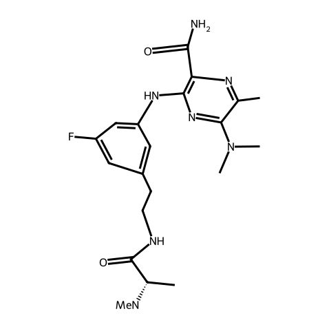 CN[C@@H](C)C(=O)NCCc1cc(F)cc(Nc2nc(N(C)C)c(C)nc2C(N)=O)c1